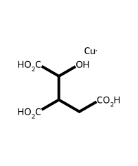 O=C(O)CC(C(=O)O)C(O)C(=O)O.[Cu]